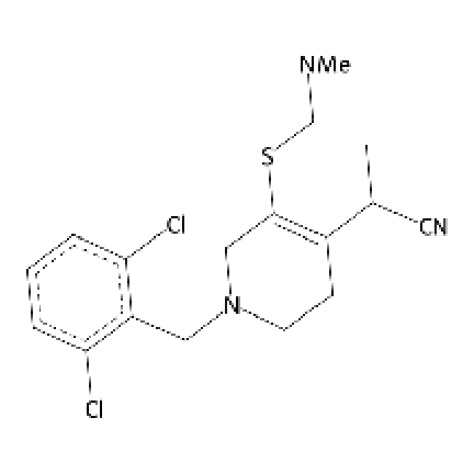 CNCSC1=C(C(C)C#N)CCN(Cc2c(Cl)cccc2Cl)C1